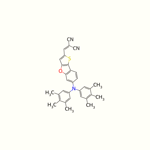 Cc1cc(N(c2cc(C)c(C)c(C)c2)c2ccc3c(c2)oc2cc(C=C(C#N)C#N)sc23)cc(C)c1C